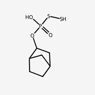 O=P(O)(OC1CC2CCC1C2)SS